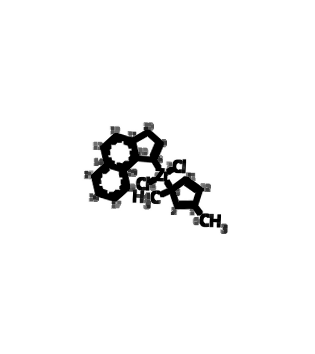 CC1=C[C](C)([Zr]([Cl])([Cl])[C]2=CCc3ccc4ccccc4c32)C=C1